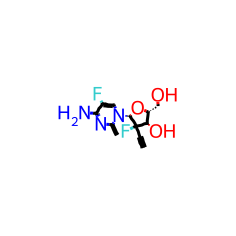 C#CC1(F)[C@@H](O)[C@@H](CO)O[C@H]1N1C=C(F)C(N)=NC1=C